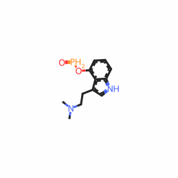 CN(C)CCc1c[nH]c2cccc(O[PH2]=O)c12